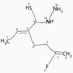 C=C(F)CC/C(=C\C)C(S)NN